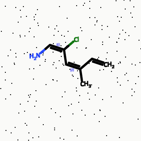 C=C/C(C)=C\C(Cl)=C/N